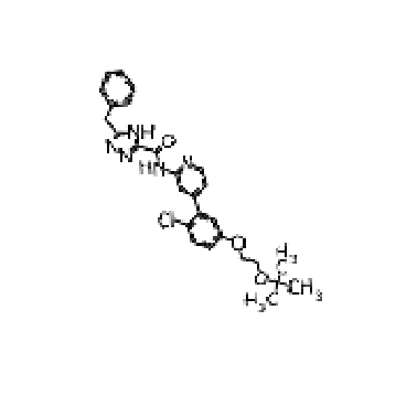 CC(C)(C)OCCOc1ccc(Cl)c(-c2ccnc(NC(=O)c3nnc(Cc4ccccc4)[nH]3)c2)c1